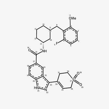 COc1cccc(F)c1CN1CCC[C@@H](NC(=O)c2ccc3[nH]nc(C4=CCS(=O)(=O)CC4)c3c2)C1